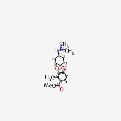 COC(=O)c1ccc2c(c1C)OC1(CCC(CN(C)C)CC1)O2